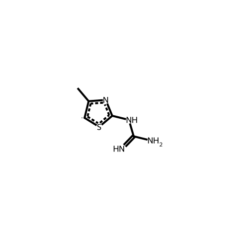 Cc1[c]sc(NC(=N)N)n1